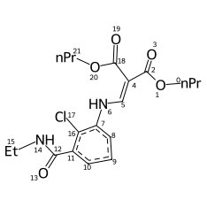 CCCOC(=O)C(=CNc1cccc(C(=O)NCC)c1Cl)C(=O)OCCC